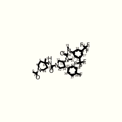 CC(=O)N1CCC(C)(NC(=O)N2C[C@@H](N(C)C(=O)N(C)c3cc(C(F)(F)F)cc(C(F)(F)F)c3)[C@H](c3ccc(F)cc3)C2)CC1